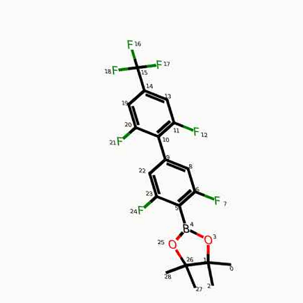 CC1(C)OB(c2c(F)cc(-c3c(F)cc(C(F)(F)F)cc3F)cc2F)OC1(C)C